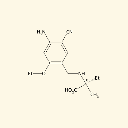 CCOc1cc(N)c(C#N)cc1CN[C@](C)(CC)C(=O)O